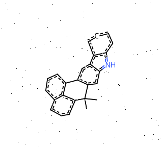 CC1(C)c2cc3[nH]c4ccccc4c3cc2-c2cccc3cccc1c23